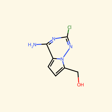 Nc1nc(Cl)nn2c(CO)ccc12